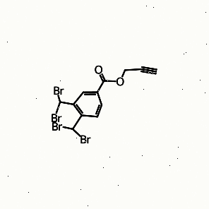 C#CCOC(=O)c1ccc(C(Br)Br)c(C(Br)Br)c1